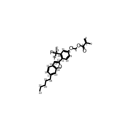 C=C(C)C(=O)OCOc1ccc(-c2cc3ccc(CCCCC)cc3o2)c(C(F)(F)F)c1